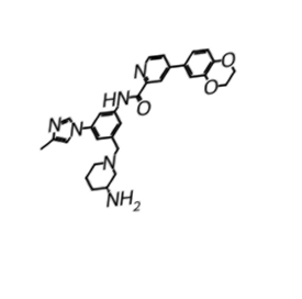 Cc1cn(-c2cc(CN3CCC[C@H](N)C3)cc(NC(=O)c3cc(-c4ccc5c(c4)OCCO5)ccn3)c2)cn1